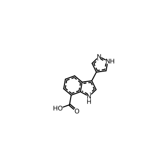 O=C(O)c1cccc2c(-c3cn[nH]c3)c[nH]c12